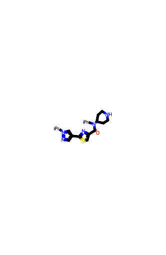 CC(C)N(C(=O)c1csc(-c2cnn(C(C)C)c2)n1)C1CCNCC1